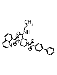 C=CCNC(=O)C1CN(S(=O)(=O)c2ccc(-c3ccccc3)cc2)CCN1S(=O)(=O)c1cccc2cccnc12